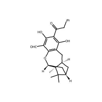 CC(C)CC(=O)c1c(O)c(C=O)c2c(c1O)C[C@H]1C[C@H]3C[C@@H](O2)[C@]1(C)C3(C)C